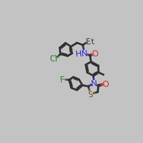 CCC(Cc1ccc(Cl)cc1)NC(=O)c1ccc(N2C(=O)CSC2c2ccc(F)cc2)c(C)c1